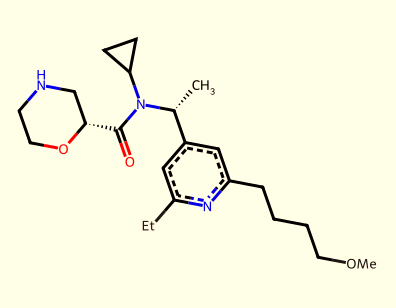 CCc1cc([C@@H](C)N(C(=O)[C@H]2CNCCO2)C2CC2)cc(CCCCOC)n1